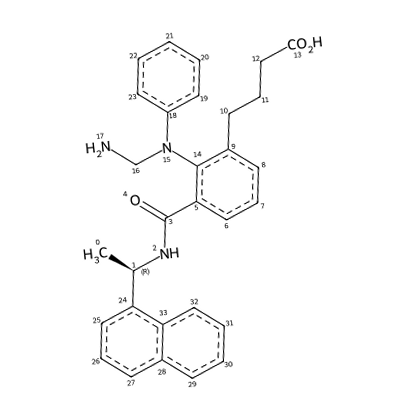 C[C@@H](NC(=O)c1cccc(CCCC(=O)O)c1N(CN)c1ccccc1)c1cccc2ccccc12